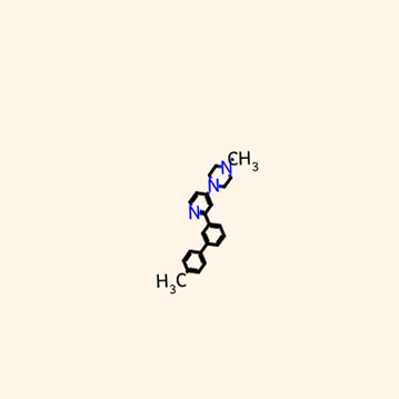 Cc1ccc(-c2cccc(-c3cc(N4CCN(C)CC4)ccn3)c2)cc1